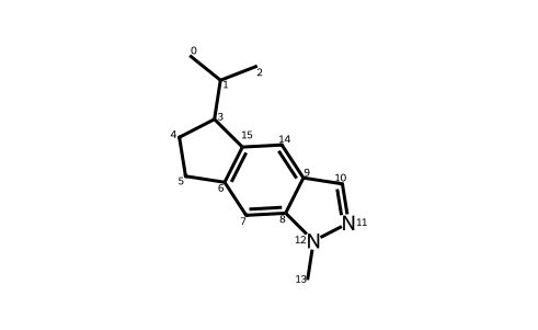 CC(C)C1CCc2cc3c(cnn3C)cc21